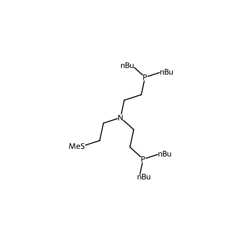 CCCCP(CCCC)CCN(CCSC)CCP(CCCC)CCCC